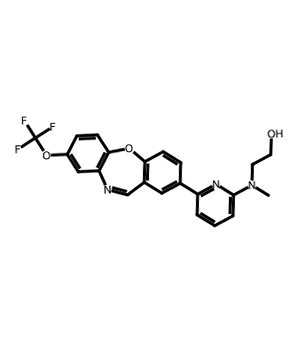 CN(CCO)c1cccc(-c2ccc3c(c2)C=Nc2cc(OC(F)(F)F)ccc2O3)n1